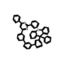 c1ccc(-c2cc(-c3cccc(-c4cccc(-c5cccc(C6(c7ccccc7)c7ccccc7Oc7ccccc76)c5)c4)c3)nc(-c3ccccc3)n2)cc1